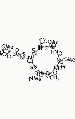 CNC(=O)C[C@@H]1NC(=O)c2csc(n2)-c2ccc(-c3nc(NC(=O)CC[C@@H](CC(=O)OC)C(=O)OC)cs3)nc2-c2csc(n2)-c2csc(n2)[C@H](C(OC(C)=O)c2ccccc2)NC(=O)CNC(=O)c2nc(sc2COC)[C@H](C(C)C)NC(=O)c2nc1sc2C